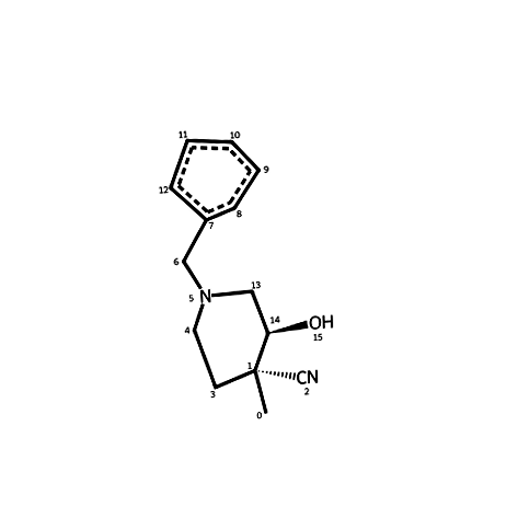 C[C@@]1(C#N)CCN(Cc2ccccc2)C[C@H]1O